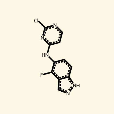 Fc1c(Nc2ccnc(Cl)n2)ccc2[nH]ncc12